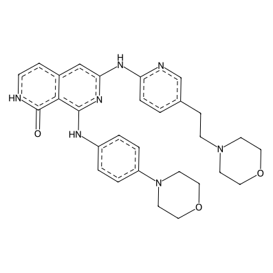 O=c1[nH]ccc2cc(Nc3ccc(CCN4CCOCC4)cn3)nc(Nc3ccc(N4CCOCC4)cc3)c12